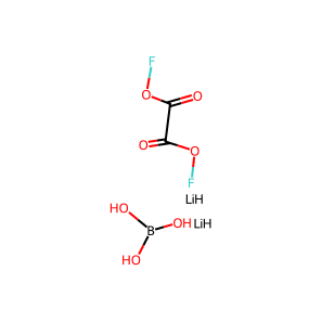 O=C(OF)C(=O)OF.OB(O)O.[LiH].[LiH]